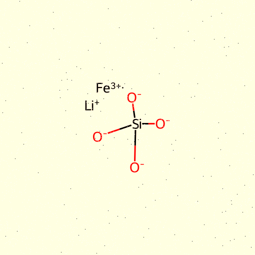 [Fe+3].[Li+].[O-][Si]([O-])([O-])[O-]